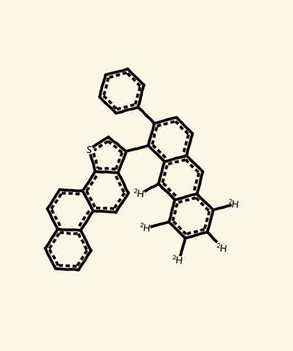 [2H]c1c([2H])c([2H])c2c([2H])c3c(-c4csc5c4ccc4c6ccccc6ccc45)c(-c4ccccc4)ccc3cc2c1[2H]